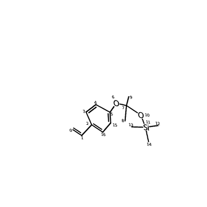 C=Cc1ccc(OC(C)(C)O[Si](C)(C)C)cc1